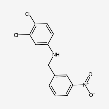 O=[N+]([O-])c1cccc(CNc2ccc(Cl)c(Cl)c2)c1